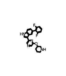 Fc1cccc(F)c1-c1ccc2[nH]cc(-c3cncc(OC4CCCNC4)n3)c2c1